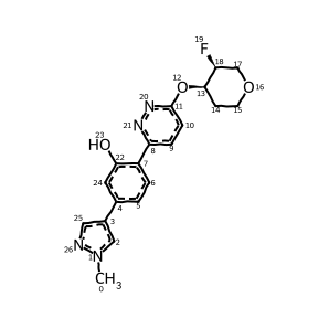 Cn1cc(-c2ccc(-c3ccc(O[C@@H]4CCOC[C@@H]4F)nn3)c(O)c2)cn1